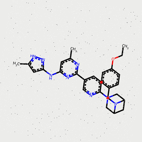 CCOc1ccc(CN2C3CC2CN(c2ccc(-c4nc(C)cc(Nc5cc(C)[nH]n5)n4)cn2)C3)cc1